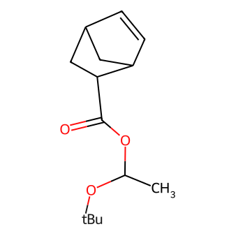 CC(OC(=O)C1CC2C=CC1C2)OC(C)(C)C